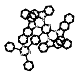 c1ccc(-c2nc(-c3ccccc3)nc(-c3ccc(-c4c(-n5c6ccccc6c6cc7ccccc7cc65)c(-n5c6ccccc6c6cc7ccccc7cc65)nc(-n5c6ccccc6c6cc7ccccc7cc65)c4-n4c5ccccc5c5cc6ccccc6cc54)cc3)n2)cc1